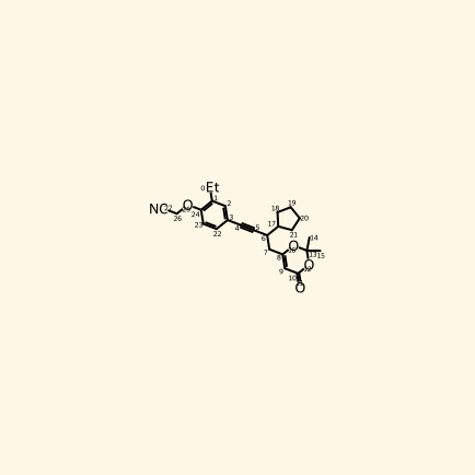 CCc1cc(C#CC(CC2=CC(=O)OC(C)(C)O2)C2CCCC2)ccc1OCC#N